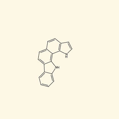 c1ccc2c(c1)[nH]c1c2ccc2ccc3cc[nH]c3c21